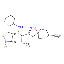 CCn1ncc2c(NC3CCCCC3)c(C3=NOC4(CCC(C(=O)O)CC4)C3)c(C(F)(F)F)cc21